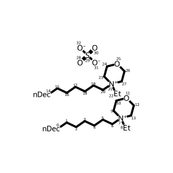 CCCCCCCCCCCCCCCC[N+]1(CC)CCOCC1.CCCCCCCCCCCCCCCC[N+]1(CC)CCOCC1.O=S(=O)([O-])[O-]